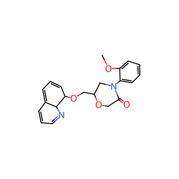 COc1ccccc1N1CC(COC2C=CC=C3C=CC=NC32)OCC1=O